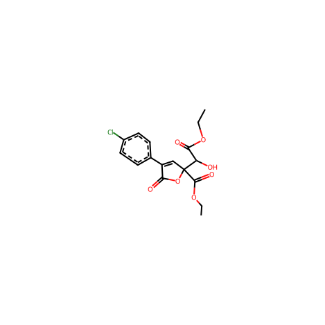 CCOC(=O)C(O)C1(C(=O)OCC)C=C(c2ccc(Cl)cc2)C(=O)O1